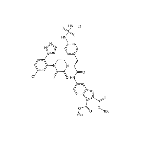 CCNS(=O)(=O)Nc1ccc(C[C@@H](C(=O)Nc2ccc3c(c2)cc(C(=O)OC(C)(C)C)n3C(=O)OC(C)(C)C)N2CCN(c3cc(Cl)ccc3-n3cnnn3)C(=O)C2=O)cc1